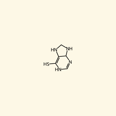 SC1=C2NCNC2N=CN1